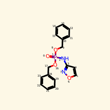 O=P(Nc1ccon1)(OCc1ccccc1)OCc1ccccc1